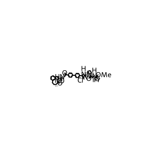 COC(=O)N[C@H](C(=O)N1CCC[C@H]1c1nc(Cl)c(-c2ccc(-c3ccc(C(=O)CNC(=O)[C@@H]4Cc5cccc6c5N4C(=O)[C]CC6)cc3)cc2)[nH]1)C(C)C